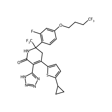 O=C1NC(c2ccc(OCCCC(F)(F)F)cc2F)(C(F)(F)F)CC(c2ccc(C3CC3)s2)=C1c1nnn[nH]1